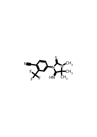 CN1C(=S)N(c2ccc(C#N)c(C(F)(F)F)c2)C(=N)C1(C)C